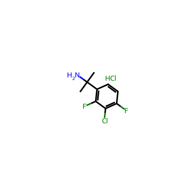 CC(C)(N)c1ccc(F)c(Cl)c1F.Cl